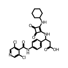 O=C(O)CC(Nc1c(NC2CCCCC2)c(=O)c1=O)c1ccc(NC(=O)c2c(Cl)cncc2Cl)cc1